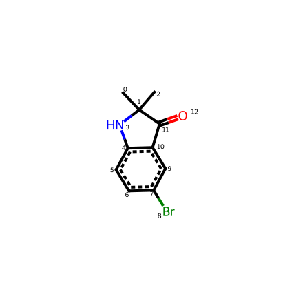 CC1(C)Nc2ccc(Br)cc2C1=O